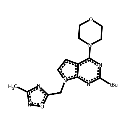 Cc1noc(Cn2ccc3c(N4CCOCC4)nc(C(C)(C)C)nc32)n1